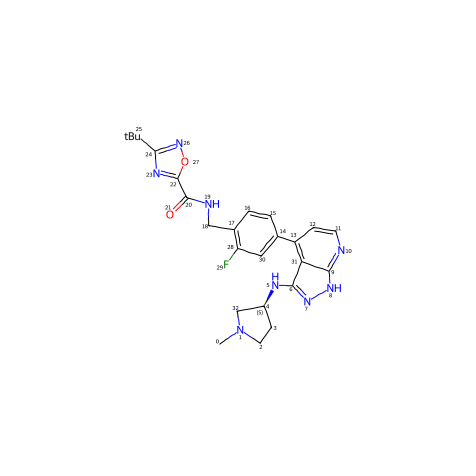 CN1CC[C@H](Nc2n[nH]c3nccc(-c4ccc(CNC(=O)c5nc(C(C)(C)C)no5)c(F)c4)c23)C1